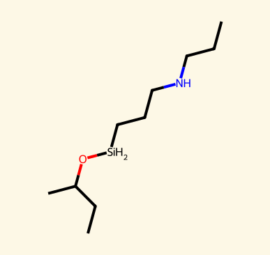 CCCNCCC[SiH2]OC(C)CC